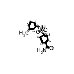 Cc1cccc(NS(=O)(=O)c2ccc(C(N)=O)cc2)c1